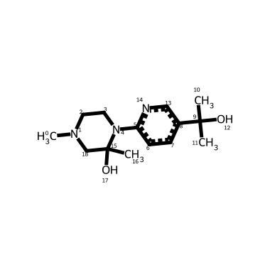 CN1CCN(c2ccc(C(C)(C)O)cn2)C(C)(O)C1